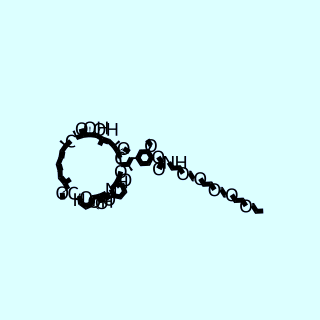 CCCOCCOCCOCCOCCOCCNC(=O)O[C@@H]1CC[C@@H](C[C@@H](C)[C@@H]2C[C@@H](OC)[C@H](C)/C=C(\C)[C@@H](O)[C@@H](O)C(=O)[C@H](C)C[C@H](C)/C=C/C=C/C=C(\C)[C@@H](OC)C[C@@H]3CC[C@@H](C)[C@@](O)(O3)C(=O)C(=O)N3CCCC[C@H]3C(=O)O2)C[C@H]1OC